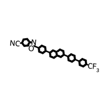 N#Cc1ccc2nc(-c3ccc(-c4ccc5cc(-c6ccc(-c7ccc(C(F)(F)F)cc7)cc6)ccc5c4)cc3)oc2c1